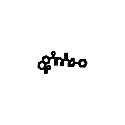 O=C(CNC(=O)c1ccc2c(c1)S(=O)(=O)CCC2)Nc1nc(-c2ccccc2)cs1